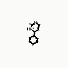 C1=CC(c2ccccc2)NC=N1